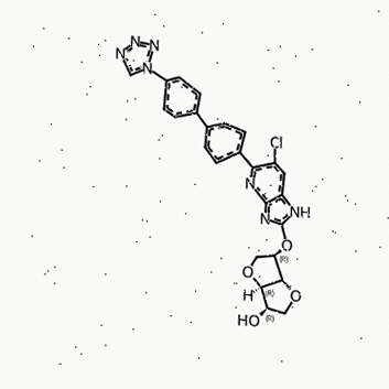 O[C@@H]1COC2[C@H](Oc3nc4nc(-c5ccc(-c6ccc(-n7cnnn7)cc6)cc5)c(Cl)cc4[nH]3)CO[C@@H]21